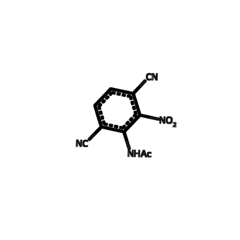 CC(=O)Nc1c(C#N)ccc(C#N)c1[N+](=O)[O-]